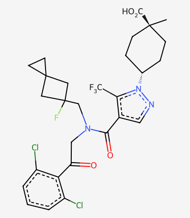 C[C@]1(C(=O)O)CC[C@H](n2ncc(C(=O)N(CC(=O)c3c(Cl)cccc3Cl)CC3(F)CC4(CC4)C3)c2C(F)(F)F)CC1